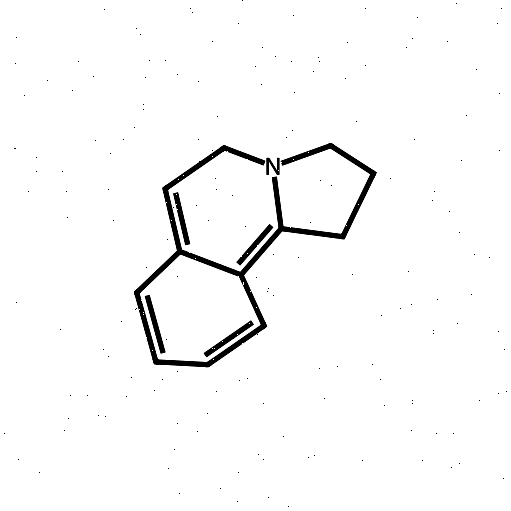 C1=c2ccccc2=C2CCCN2C1